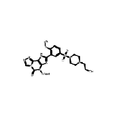 CCCCCn1c(=O)n2cnnc2c2[nH]c(-c3cc(S(=O)(=O)N4CCN(CCO)CC4)ccc3OCCC)nc21